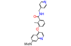 CNc1ccc2c(Oc3cccc(C(=O)NCc4ccncc4)c3C)ccnc2c1